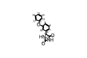 O=C1NC(=O)C(c2cccc(Oc3ccccc3)c2)N1